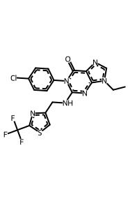 CCn1cnc2c(=O)n(-c3ccc(Cl)cc3)c(NCc3csc(C(F)(F)F)n3)nc21